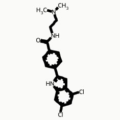 CN(C)CCNC(=O)c1ccc(-c2cc3c(Cl)cc(Cl)cc3[nH]2)cc1